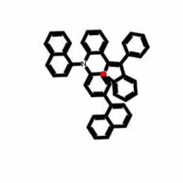 c1ccc(-c2c(-c3ccccc3N(c3ccc(-c4cccc5ccccc45)cc3)c3cccc4ccccc34)oc3ccccc23)cc1